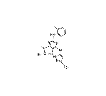 C=C(OCC)c1nc(Nc2ccccc2C)nc(Nc2cc(C3CC3)n[nH]2)c1[N+](=O)[O-]